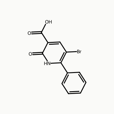 O=C(O)c1cc(Br)c(-c2ccccc2)[nH]c1=O